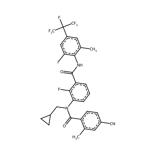 Cc1cc(C#N)ccc1C(=O)N(CC1CC1)c1cccc(C(=O)Nc2c(C)cc(C(F)(C(F)(F)F)C(F)(F)F)cc2I)c1F